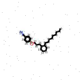 CCCCCCCCCC1CCCCC1CCCOc1ccc(C#N)cc1